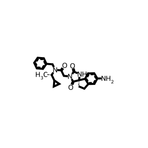 C[C@@H](C1CC1)N(Cc1ccccc1)C(=O)CN1C(=O)N[C@]2(CCc3cc(N)ccc32)C1=O